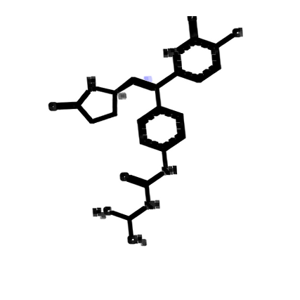 CC(C)NC(=O)Nc1ccc(/C(=C\[C@H]2CCC(=O)N2)c2ccc(Cl)c(=O)[nH]2)cc1